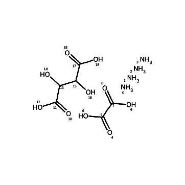 N.N.N.N.O=C(O)C(=O)O.O=C(O)C(O)C(O)C(=O)O